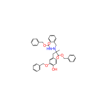 CC(Cc1ccc(O)c(OCc2ccccc2)c1)(C(=O)OCc1ccccc1)N(Cc1ccccc1)NC(=O)OCc1ccccc1